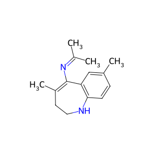 CC(C)=NC1=C(C)CCNc2ccc(C)cc21